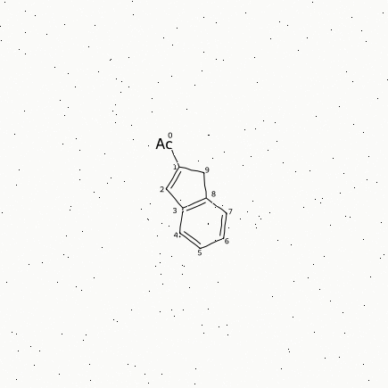 CC(=O)C1=Cc2[c]cccc2C1